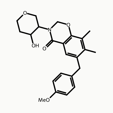 COc1ccc(Cc2cc3c(c(C)c2C)OCN(C2COCCC2O)C3=O)cc1